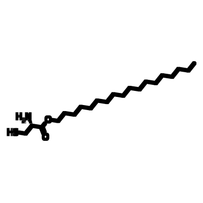 CCCCCCCCCCCCCCCCCCOC(=O)[C@@H](N)CS